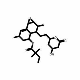 CCC(C)(C)C(=O)OC1CC(C)C=C2C3OC3C(C)C(CCC3CC(O)CC(=O)O3)C21